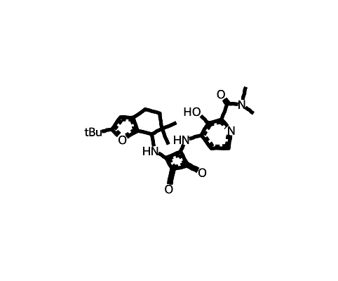 CN(C)C(=O)c1nccc(Nc2c(NC3c4oc(C(C)(C)C)cc4CCC3(C)C)c(=O)c2=O)c1O